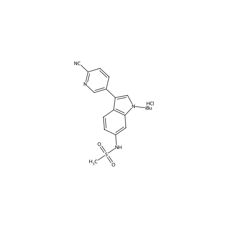 CCC(C)n1cc(-c2ccc(C#N)nc2)c2ccc(NS(C)(=O)=O)cc21.Cl